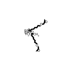 CCO[Si](CCCCCCOCC1CO1)(OCC)OC(C)(C)CCCCCCOCC1CO1